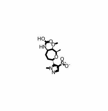 CO[C@H]1[C@H](NC(=O)O)CC[C@@H](c2c([N+](=O)[O-])cnn2C)O[C@@H]1C